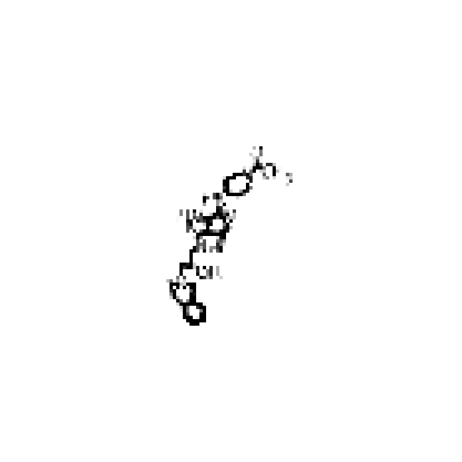 CC(=O)N1CCC(Nc2ncc(F)c3c(NC[C@H](O)CN4CCc5ccccc5C4)n[nH]c23)CC1